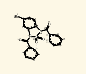 CC(C)(C)c1ccc2c(c1)N(C(=O)c1ccccc1)S(=O)(=O)N2C(=O)c1ccccc1